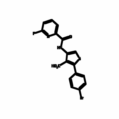 O=C(Nc1csc(-c2ccc(Br)cc2)c1C(=O)O)c1cccc(F)n1